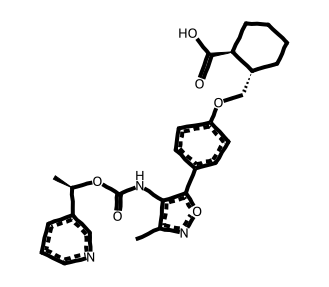 Cc1noc(-c2ccc(OC[C@H]3CCCC[C@@H]3C(=O)O)cc2)c1NC(=O)O[C@H](C)c1cccnc1